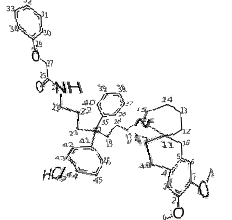 COc1cc2c(cc1OC)CC1(CCCCN1CCCC(CCCNC(=O)COc1ccccc1)(c1ccccc1)c1ccccc1)CC2.Cl